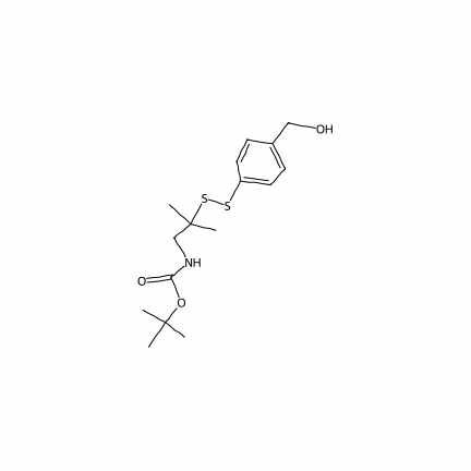 CC(C)(C)OC(=O)NCC(C)(C)SSc1ccc(CO)cc1